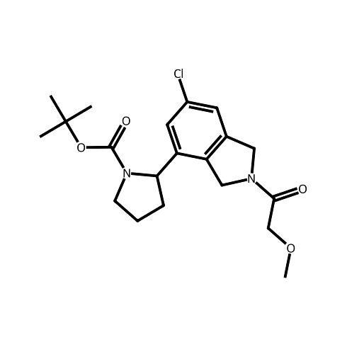 COCC(=O)N1Cc2cc(Cl)cc(C3CCCN3C(=O)OC(C)(C)C)c2C1